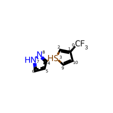 FC(F)(F)C1=C[SH](c2cc[nH]n2)C=C1